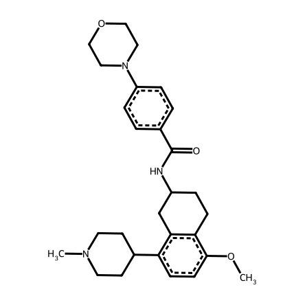 COc1ccc(C2CCN(C)CC2)c2c1CCC(NC(=O)c1ccc(N3CCOCC3)cc1)C2